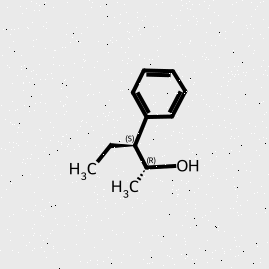 CC[C@@H](c1ccccc1)[C@@H](C)O